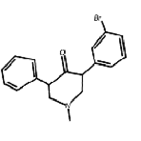 CN1CC(c2ccccc2)C(=O)C(c2cccc(Br)c2)C1